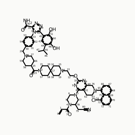 C=CC(=O)N1CCN(c2nc(OCCN3CCC4(CC3)CCN(C(=O)C3CCN(Cc5ccc(-n6c(C(N)=O)nnc6-c6cc(C(C)C)c(O)cc6O)cc5)CC3)CC4)nc3c2CCN(c2cccc4cccc(Cl)c24)C3)CC1CC#N